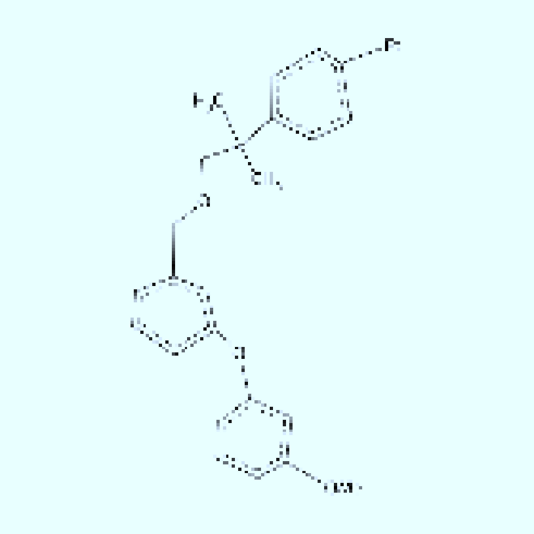 CCc1ccc(C(C)(C)COCc2cccc(Oc3cccc(OC)c3)c2)cc1